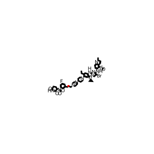 CCc1cc(Nc2ncc(Br)c(Nc3ccc4nc(C)ccc4c3P(C)(C)=O)n2)c(OC2CC2)cc1N1CCC(N2CCN(CCCc3cc(F)cc4c3oc(=O)n4C3CCC(=O)NC3=O)CC2)CC1